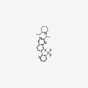 CCC1CCCCN1C(C)c1n[c]c2ccc(-c3ncccc3C(F)(F)F)cc2n1